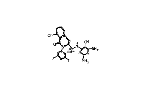 CC[C@@H](C)[C@H](Nc1nc(N)nc(N)c1C#N)c1nc2cccc(Cl)c2c(=O)n1-c1cc(F)cc(F)c1